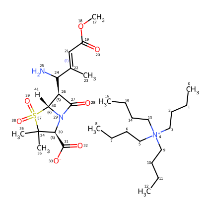 CCCC[N+](CCCC)(CCCC)CCCC.COC(=O)/C=C(\C)C(N)[C@H]1C(=O)N2[C@@H](C(=O)[O-])C(C)(C)S(=O)(=O)[C@H]12